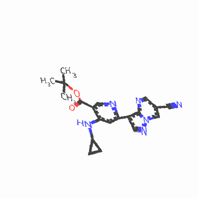 CC(C)(C)OC(=O)c1cnc(-c2cnn3cc(C#N)cnc23)cc1NC1CC1